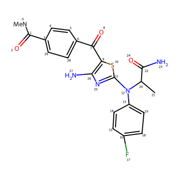 CNC(=O)c1ccc(C(=O)c2sc(N(c3ccc(F)cc3)C(C)C(N)=O)nc2N)cc1